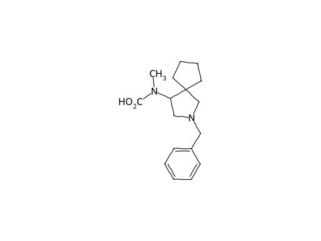 CN(C(=O)O)C1CN(Cc2ccccc2)CC12CCCC2